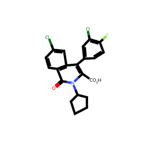 O=C(O)c1c(-c2ccc(F)c(Cl)c2)c2cc(Cl)ccc2c(=O)n1C1CCCC1